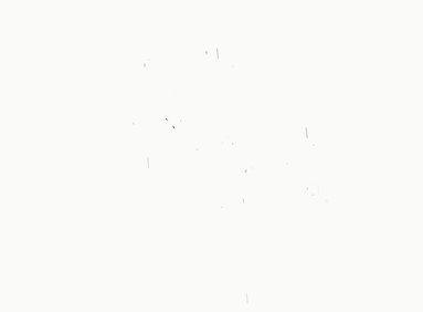 C=CC(=O)N(CC)C(CCCCC)OC(=O)C(=C)C